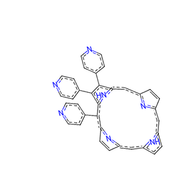 C1=Cc2cc3[nH]c(c(-c4ccncc4)c4nc(cc5ccc(cc1n2)[nH]5)C=C4)c(-c1ccncc1)c3-c1ccncc1